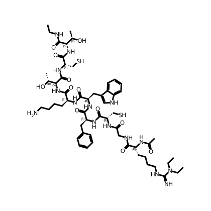 CCNC(=O)[C@@H](NC(=O)[C@H](CS)NC(=O)[C@@H](NC(=O)[C@H](CCCCN)NC(=O)[C@@H](Cc1c[nH]c2ccccc12)NC(=O)[C@H](Cc1ccccc1)NC(=O)[C@H](CS)NC(=O)CNC(=O)[C@@H](CCCCNC(=N)N(CC)CC)NC(C)=O)[C@@H](C)O)[C@@H](C)O